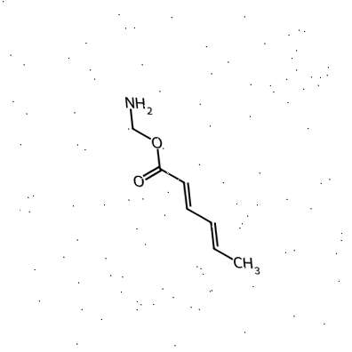 C/C=C/C=C/C(=O)OCN